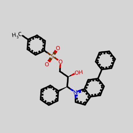 Cc1ccc(S(=O)(=O)OC[C@@H](O)[C@H](c2ccccc2)n2ccc3ccc(-c4ccccc4)cc32)cc1